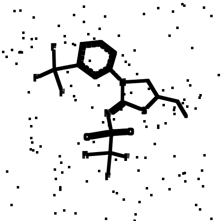 CCC1CN(c2cccc(C(F)(F)F)c2)C(=NS(=O)(=O)C(F)(F)F)S1